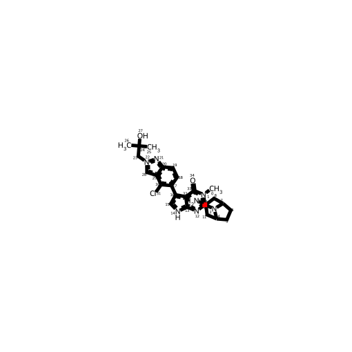 Cn1c(N2C3CCC2CC(N)C3)nc2[nH]cc(-c3ccc4nn(CC(C)(C)O)cc4c3Cl)c2c1=O